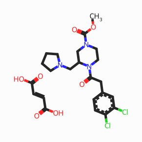 COC(=O)N1CCN(C(=O)Cc2ccc(Cl)c(Cl)c2)C(CN2CCCC2)C1.O=C(O)C=CC(=O)O